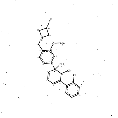 COc1nc(C2(N)C=CC=C(c3ccccc3Cl)C2Cl)ccc1CN1CC(F)C1